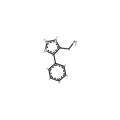 CC(=O)Cc1nnoc1-c1ccccc1